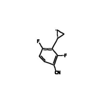 N#Cc1ccc(F)c(C2[CH]C2)c1F